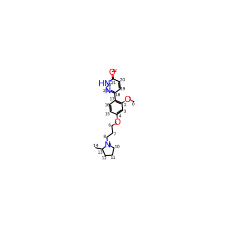 COc1cc(OCCCN2CCCC2C)ccc1-c1ccc(=O)[nH]n1